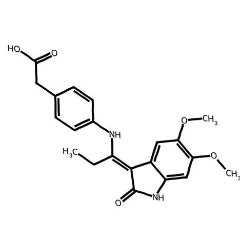 CCC(Nc1ccc(CC(=O)O)cc1)=C1C(=O)Nc2cc(OC)c(OC)cc21